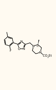 CCOC(=O)N1CCN(Cc2noc(-c3cc(C)ccc3F)n2)[C@@H](C)C1